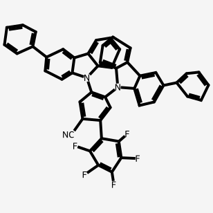 N#Cc1cc(-n2c3ccccc3c3cc(-c4ccccc4)ccc32)c(-n2c3ccccc3c3cc(-c4ccccc4)ccc32)cc1-c1c(F)c(F)c(F)c(F)c1F